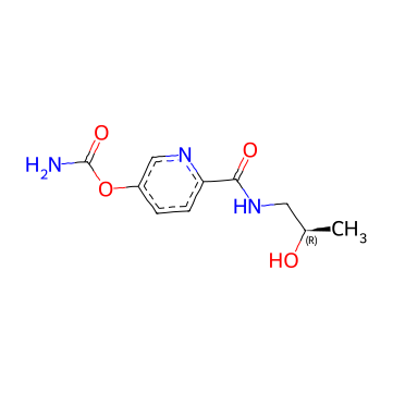 C[C@@H](O)CNC(=O)c1ccc(OC(N)=O)cn1